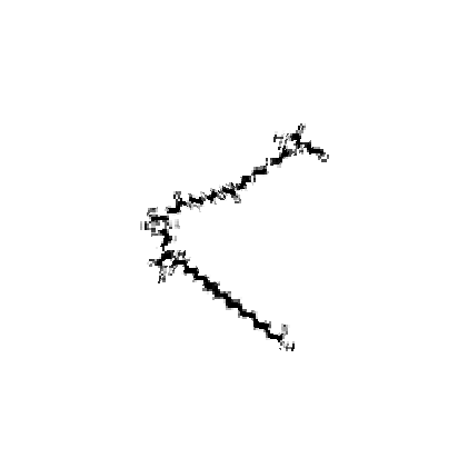 O=[C]CC[C@H](NC(=O)COCCOCCNC(=O)COCCOCCNC(=O)CC[C@H](NC(=O)CC[C@H](NC(=O)CCCCCCCCCCCCCCCCC(=O)O)C(=O)O)C(=O)O)C(=O)O